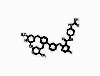 CC1COCCN1Cc1cc(CN2C[C@@H](C)N[C@@H](C)C2)ccc1-c1cccc(Oc2ncc(F)cc2C(=O)NC2CCC(NC(=O)O)CC2)c1